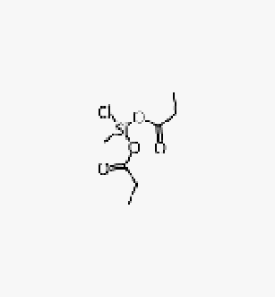 CCC(=O)O[Si](C)(Cl)OC(=O)CC